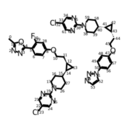 Cc1nnc(-c2ccc(OCC[C@H]3C[C@H]3C3CCN(c4ncc(Cl)cn4)CC3)cc2F)o1.Clc1cnc(N2CCC([C@@H]3C[C@@H]3CCOc3ccc(-n4ccnn4)cc3)CC2)nc1